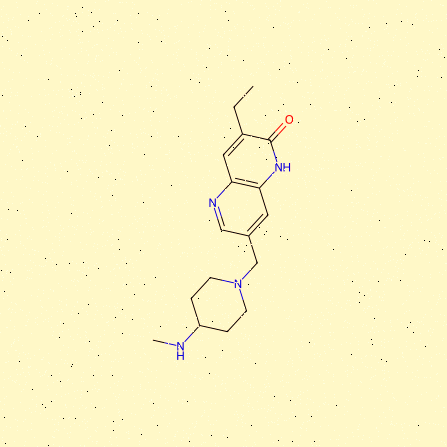 CCc1cc2ncc(CN3CCC(NC)CC3)cc2[nH]c1=O